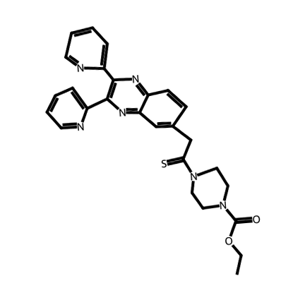 CCOC(=O)N1CCN(C(=S)Cc2ccc3nc(-c4ccccn4)c(-c4ccccn4)nc3c2)CC1